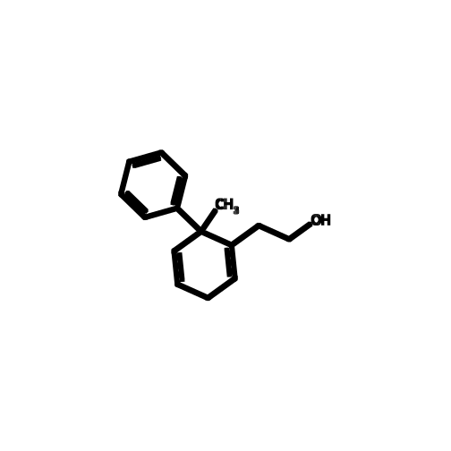 CC1(c2ccccc2)C=CCC=C1CCO